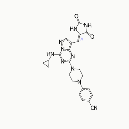 N#Cc1ccc(N2CCN(c3nc(NC4CC4)n4ncc(/C=C5\NC(=O)NC5=O)c4n3)CC2)cc1